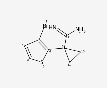 N=C(N)C1(c2sccc2Br)CC1